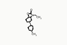 CCn1c(=O)oc2ccc(-c3ccc(C)cc3)cc21